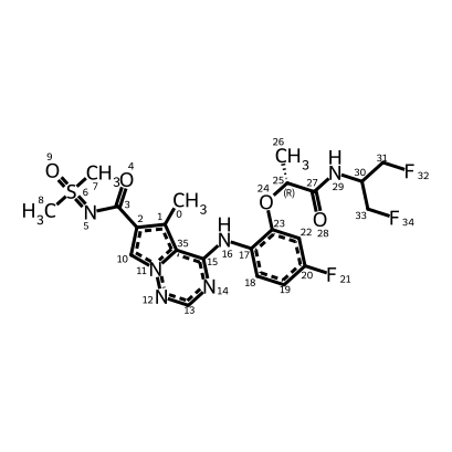 Cc1c(C(=O)N=S(C)(C)=O)cn2ncnc(Nc3ccc(F)cc3O[C@H](C)C(=O)NC(CF)CF)c12